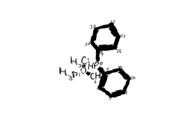 COC.P.c1ccc(Pc2ccccc2)cc1